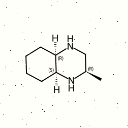 C[C@@H]1CN[C@@H]2CCCC[C@@H]2N1